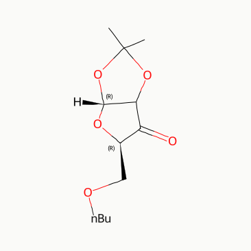 CCCCOC[C@H]1O[C@@H]2OC(C)(C)OC2C1=O